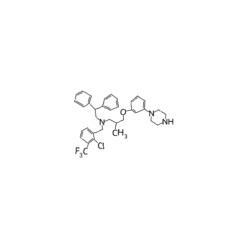 CC(COc1cccc(N2CCNCC2)c1)CN(Cc1cccc(C(F)(F)F)c1Cl)CC(c1ccccc1)c1ccccc1